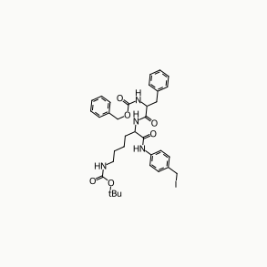 CC(C)(C)OC(=O)NCCCCC(NC(=O)C(Cc1ccccc1)NC(=O)OCc1ccccc1)C(=O)Nc1ccc(CI)cc1